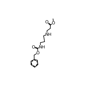 COC(=O)CCNCCCNC(=O)OCc1ccccc1